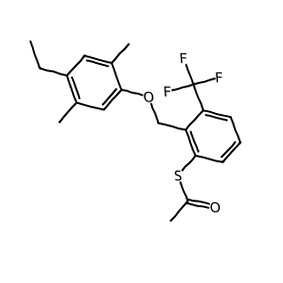 CCc1cc(C)c(OCc2c(SC(C)=O)cccc2C(F)(F)F)cc1C